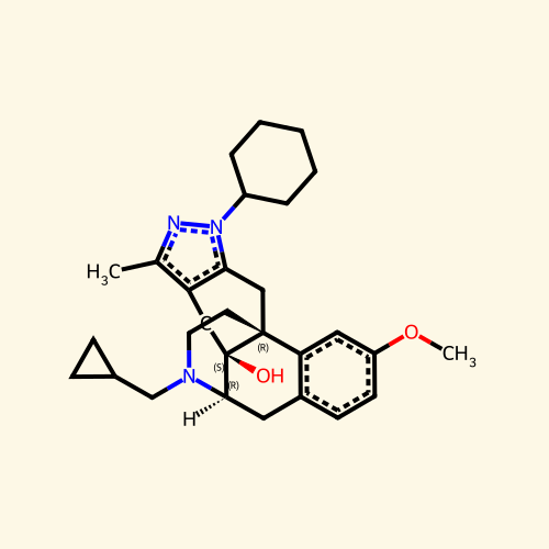 COc1ccc2c(c1)[C@]13CCN(CC4CC4)[C@H](C2)[C@]1(O)Cc1c(C)nn(C2CCCCC2)c1C3